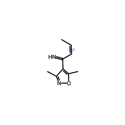 C/C=C\C(=N)c1c(C)noc1C